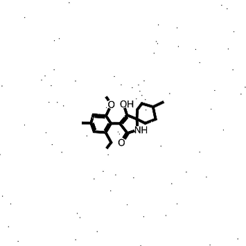 CCc1cc(C)cc(OC)c1C1=C(O)C2(CCC(C)CC2)NC1=O